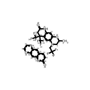 CC1CN(CC(F)(F)F)c2cc3c(cc2O1)NC(=O)CC3(C(F)(F)F)C(F)(F)F.O=c1ccc2cc3nccoc3cc2n1